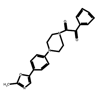 Cc1ncc(-c2ccc(N3CCN(C(=O)C(=O)c4ccccc4)CC3)cc2)o1